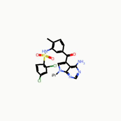 Cc1ccc(C(=O)c2cn(C(C)C)c3ncnc(N)c23)cc1NS(=O)(=O)c1ccc(Cl)cc1Cl